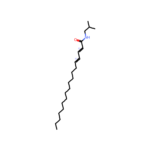 CCCCCCCCCCCCC/C=C/C=C/C(=O)NCC(C)C